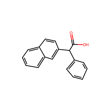 O=C(O)C(c1ccccc1)c1ccc2ccccc2c1